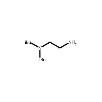 CCC(C)N(CCN)C(C)CC